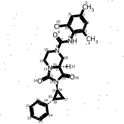 Cc1cc(C)c(NC(=O)N2CCN3C(=O)N([C@H]4C[C@@H]4c4ccccc4)C(=O)[C@@H]3C2)c(Cl)c1